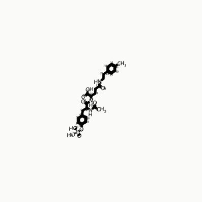 CC(=O)NC(Cc1ccc(OP(=O)(O)O)cc1)C(=O)NC(CCC(=O)NCCc1ccc(C)cc1)C(=O)O